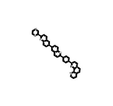 c1cnc2c(c1)ccc1ccc(-c3ccc(-c4ccc5cc(-c6ccc7nc(-c8cnccn8)ccc7c6)ccc5n4)cc3)nc12